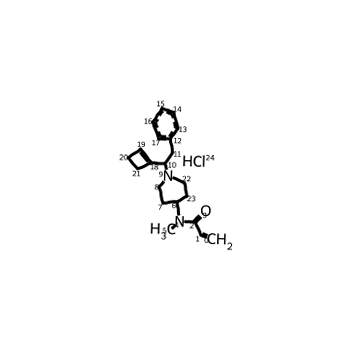 C=CC(=O)N(C)C1CCN(C(Cc2ccccc2)C2=CCC2)CC1.Cl